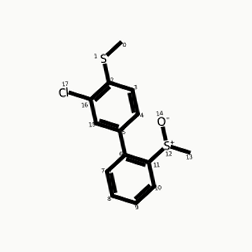 CSc1ccc(-c2[c]cccc2[S+](C)[O-])cc1Cl